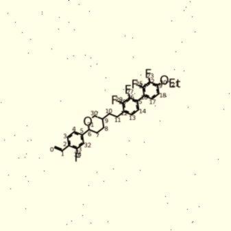 C=Cc1ccc(C2CCC(CCc3ccc(-c4ccc(OCC)c(F)c4F)c(F)c3F)CO2)cc1F